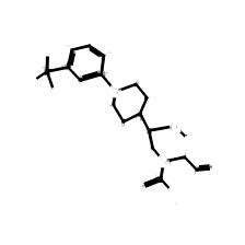 CNC(CN(CC=O)C(=O)O)C1CCN(c2cccc(C(F)(F)F)c2)CC1